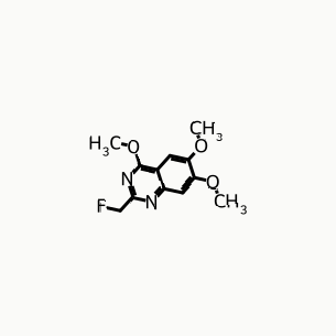 COc1cc2nc(CF)nc(OC)c2cc1OC